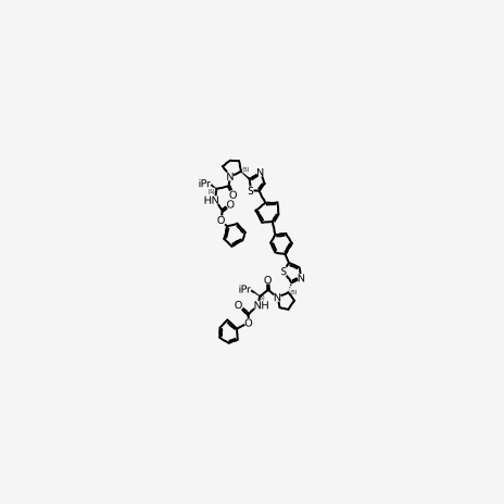 CC(C)[C@H](NC(=O)Oc1ccccc1)C(=O)N1CCC[C@H]1c1ncc(-c2ccc(-c3ccc(-c4cnc([C@@H]5CCCN5C(=O)[C@@H](NC(=O)Oc5ccccc5)C(C)C)s4)cc3)cc2)s1